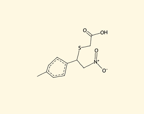 Cc1ccc(C(C[N+](=O)[O-])SCC(=O)O)cc1